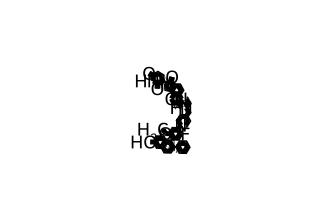 COc1cc(N2CCC(CN3CCN4c5ccc6c(c5OC[C@@H]4C3)CN([C@H]3CCC(=O)NC3=O)C6=O)CC2)c(F)cc1[C@@H]1c2ccc(O)cc2CC[C@@H]1c1ccccc1